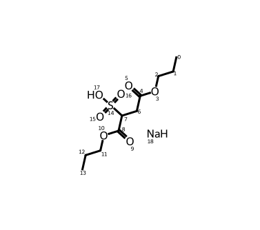 CCCOC(=O)CC(C(=O)OCCC)S(=O)(=O)O.[NaH]